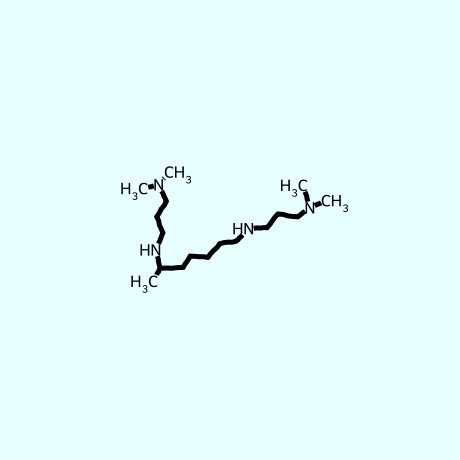 CC(CCCCCNCCCN(C)C)NCCCN(C)C